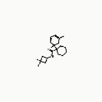 CC1=CC=CC(C)(C2(C(=O)NC3CC(F)(F)C3)CCCCC2)C1